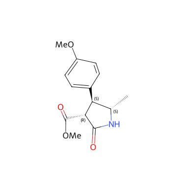 COC(=O)[C@H]1C(=O)N[C@@H](C)[C@@H]1c1ccc(OC)cc1